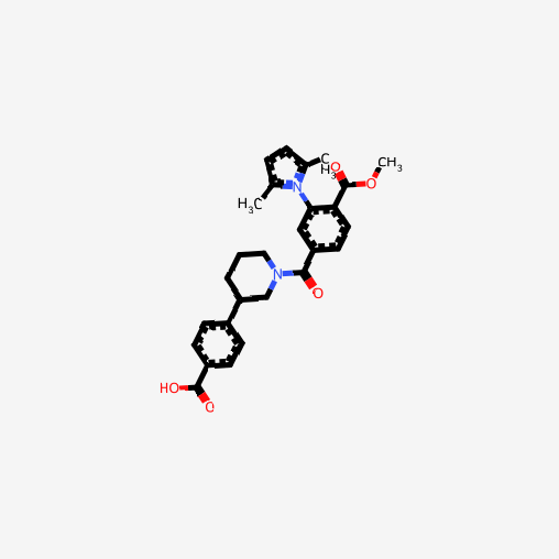 COC(=O)c1ccc(C(=O)N2CCCC(c3ccc(C(=O)O)cc3)C2)cc1-n1c(C)ccc1C